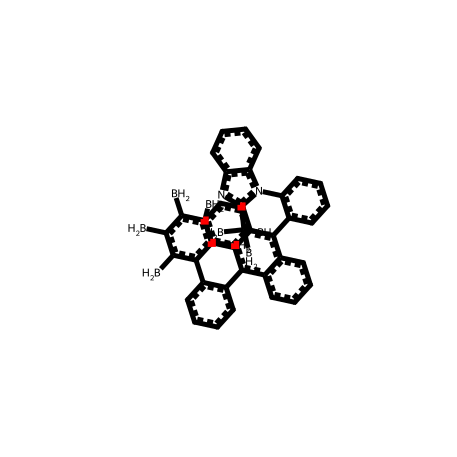 Bc1c(B)c(B)c(-c2ccccc2-c2c3ccccc3c(-c3ccccc3-n3c(C(B)(B)B)nc4ccccc43)c3ccccc23)c(B)c1B